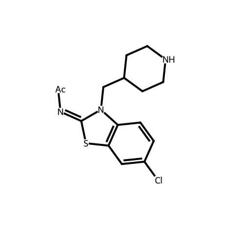 CC(=O)N=c1sc2cc(Cl)ccc2n1CC1CCNCC1